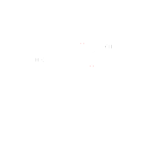 CC(=O)Oc1cc(C)cc2c1CCC2